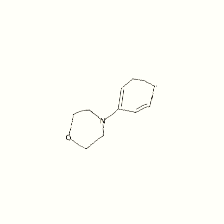 [CH]1C=CC(N2CCOCC2)=CC1